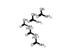 NC(=O)O.NC(=O)O.NC(=O)O.NC(=O)O.NC(=O)O